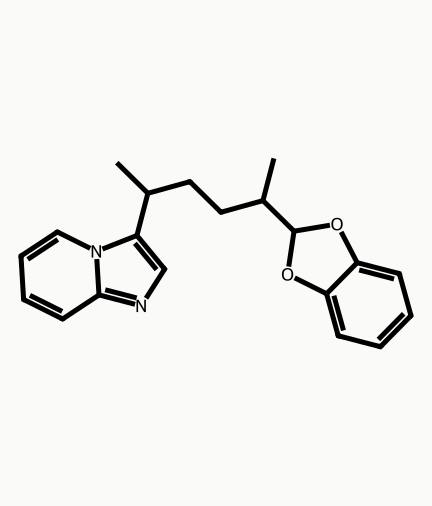 CC(CCC(C)C1Oc2ccccc2O1)c1cnc2ccccn12